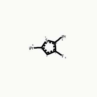 CC(C)c1cc(F)c(C(C)C)s1